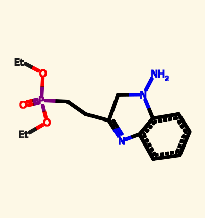 CCOP(=O)(CCC1=Nc2ccccc2N(N)C1)OCC